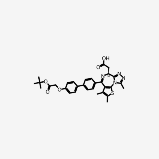 Cc1sc2c(c1C)C(c1ccc(-c3ccc(OCC(=O)OC(C)(C)C)cc3)cc1)=N[C@@H](CC(=O)O)c1nnc(C)n1-2